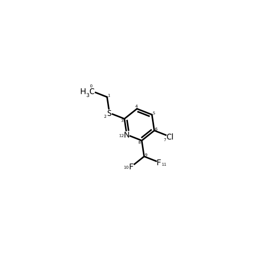 CCSc1ccc(Cl)c(C(F)F)n1